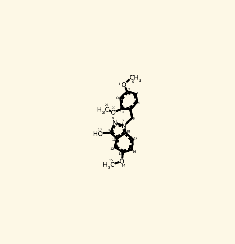 COc1ccc(Cn2nc(O)c3cc(OC)ccc32)c(OC)c1